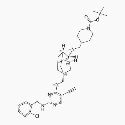 CC(C)(C)OC(=O)N1CCC(CN[C@@H]2[C@@H]3CC4C[C@H]2C[C@@](CNc2nc(NCc5ccccc5Cl)ncc2C#N)(C4)C3)CC1